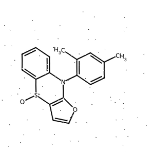 Cc1ccc(N2c3ccccc3[S+]([O-])c3ccoc32)c(C)c1